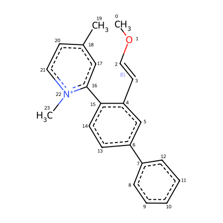 CO/C=C/c1cc(-c2ccccc2)ccc1-c1cc(C)cc[n+]1C